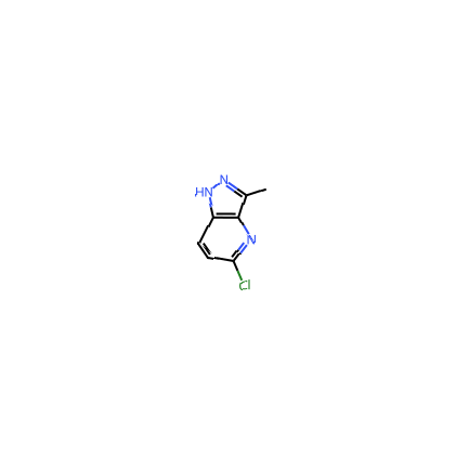 Cc1n[nH]c2ccc(Cl)nc12